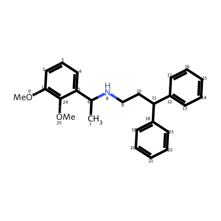 COc1cccc(C(C)NCCC(c2ccccc2)c2ccccc2)c1OC